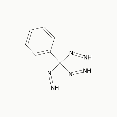 N=NC(N=N)(N=N)c1ccccc1